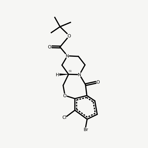 CC(C)(C)OC(=O)N1CCN2C(=O)c3ccc(Br)c(Cl)c3OC[C@@H]2C1